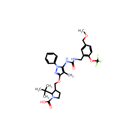 COCc1ccc(OC(F)(F)F)c(CNC(=O)Nc2c(C)c(OCC3CCN(C(=O)O)C3C(C)(C)C)nn2-c2ccccc2)c1